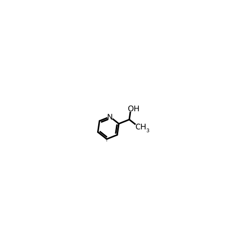 CC(O)c1c[c]ccn1